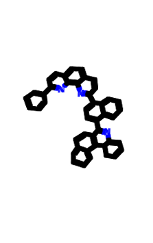 C1=CCC2C(=C1)N=C(c1ccc(-c3ccc4ccc5ccc(-c6ccccc6)nc5c4n3)c3ccccc13)c1ccc3ccccc3c12